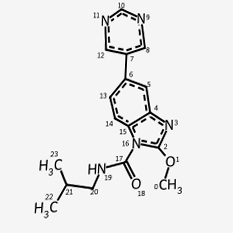 COc1nc2cc(-c3cncnc3)ccc2n1C(=O)NCC(C)C